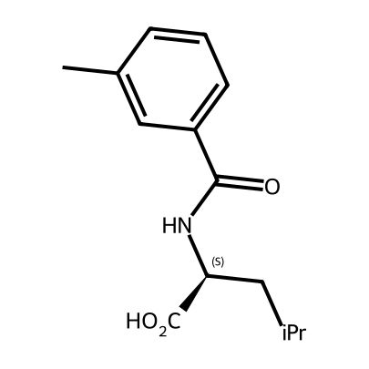 Cc1cccc(C(=O)N[C@@H](CC(C)C)C(=O)O)c1